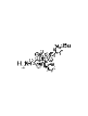 CC(C)(C)c1ccc(COC(=O)N2CCC(=O)N3C2CN(Cc2ccccc2)C(=O)[C@@H]3CCCCN)cc1